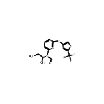 CCC(C)N(C=O)c1cccc(Oc2csc(C(F)(F)F)c2)n1